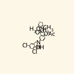 CC(=O)Oc1ccc(NCc2cc(Cl)cc(Cl)c2O)cc1C(=O)OC1CC2CCC1(C)C2(C)C